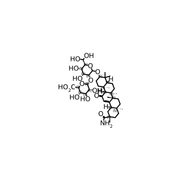 CC1(C)[C@@H](OC2O[C@H](C(O)O)[C@@H](O)[C@H](O)[C@H]2O[C@@H]2O[C@H](C(=O)O)[C@@H](O)[C@H](O)[C@H]2O)CC[C@]2(C)[C@H]3C(=O)C=C4[C@@H]5C[C@@](C)(C(N)=O)CC[C@]5(C)CC[C@@]4(C)[C@]3(C)CC[C@@H]12